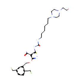 NC(=O)c1c(OCc2cc(CF)ccc2CF)nsc1NC(=O)NCCCCCCN1CCN(CCO)CC1